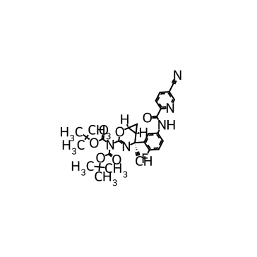 C#C[C@]1(c2cc(NC(=O)c3ccc(C#N)cn3)ccc2F)N=C(N(C(=O)OC(C)(C)C)C(=O)OC(C)(C)C)O[C@@H]2C[C@@H]21